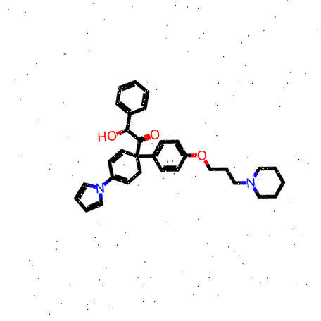 O=C(C(O)c1ccccc1)C1(c2ccc(OCCCN3CCCCC3)cc2)C=CC(n2cccc2)=CC1